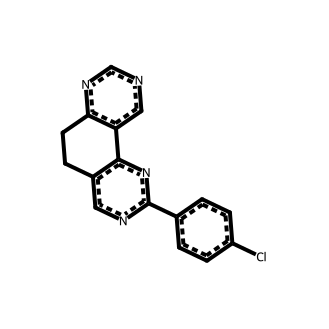 Clc1ccc(-c2ncc3c(n2)-c2cncnc2CC3)cc1